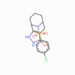 O=S(=O)(c1ccc(Cl)cc1)N1C2CCCC1C1=C(C2)C(O)NN1